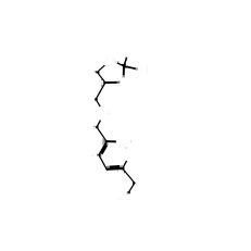 CC1(C)OCC(COCC2=CC=C(CO)SS2)O1